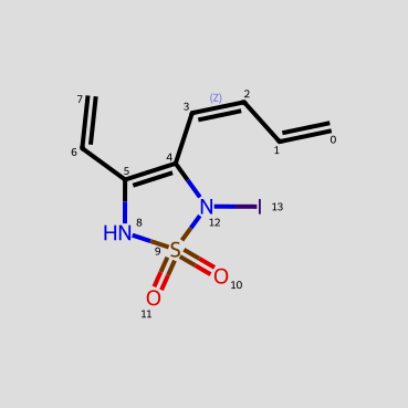 C=C/C=C\C1=C(C=C)NS(=O)(=O)N1I